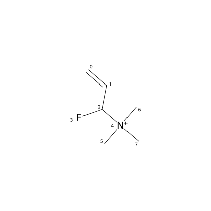 C=CC(F)[N+](C)(C)C